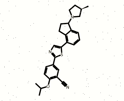 CC(C)Oc1ccc(-c2ncc(-c3cccc4c3CCC4N3CC[C@@H](C)C3)s2)cc1C#N